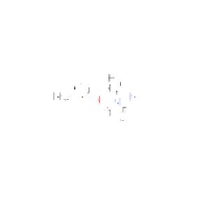 C[C@@H]1CNC[C@H](C)N1C(=O)OCc1cccc(C#N)c1